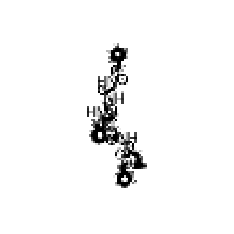 O=C(CNC(=O)OCc1ccccc1)NCC(=O)N[C@@H](Cc1ccccc1)C(=O)NCC(=O)NCOC(CC1CC1)C(=O)OCc1ccccc1